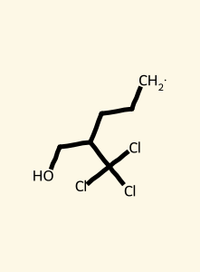 [CH2]CCC(CO)C(Cl)(Cl)Cl